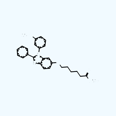 COC(=O)CCCCCOc1ccc2nc(-c3ccccc3)n(-c3cccc(OC)c3)c2c1